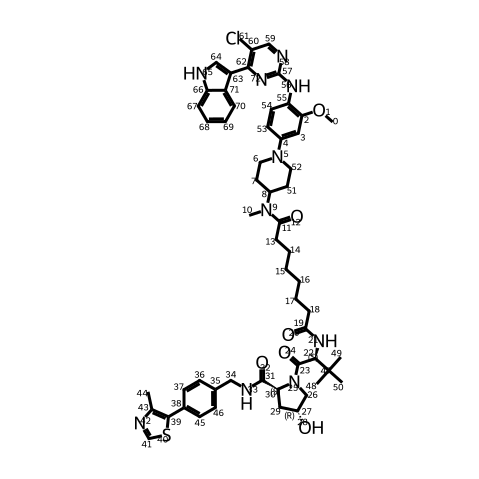 COc1cc(N2CCC(N(C)C(=O)CCCCCCC(=O)N[C@H](C(=O)N3C[C@H](O)C[C@H]3C(=O)NCc3ccc(-c4scnc4C)cc3)C(C)(C)C)CC2)ccc1Nc1ncc(Cl)c(-c2c[nH]c3ccccc23)n1